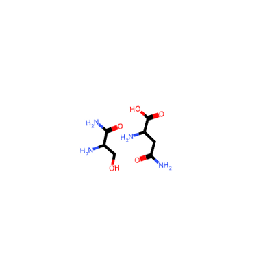 NC(=O)C(N)CO.NC(=O)CC(N)C(=O)O